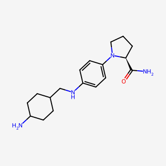 NC(=O)[C@@H]1CCCN1c1ccc(NCC2CCC(N)CC2)cc1